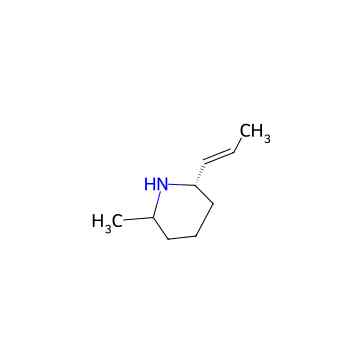 CC=C[C@@H]1CCCC(C)N1